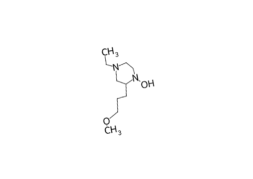 CCN1CCN(O)C(CCCOC)C1